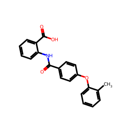 Cc1ccccc1Oc1ccc(C(=O)Nc2ccccc2C(=O)O)cc1